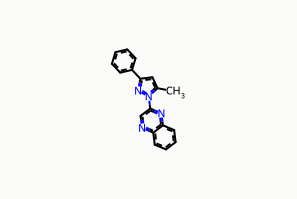 Cc1cc(-c2ccccc2)nn1-c1cnc2ccccc2n1